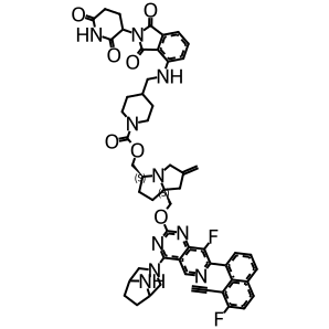 C#Cc1c(F)ccc2cccc(-c3ncc4c(N5CC6CCC(C5)N6)nc(OC[C@@]56CC[C@@H](COC(=O)N7CCC(CNc8cccc9c8C(=O)N(C8CCC(=O)NC8=O)C9=O)CC7)N5CC(=C)C6)nc4c3F)c12